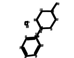 CC1CCN([n+]2ccccc2)CC1.[Cl-]